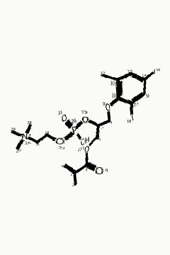 C=C(C)C(=O)OCC(COc1c(C)cc(I)cc1I)OP(=O)(O)OCC[N+](C)(C)C